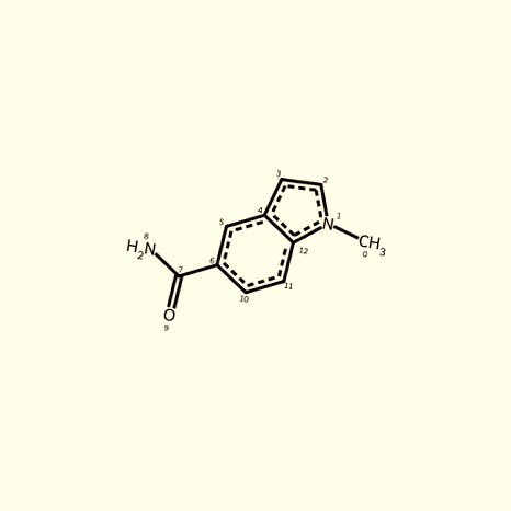 Cn1ccc2cc(C(N)=O)ccc21